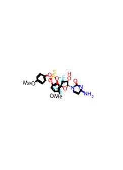 COc1ccc(OP(=S)(OC[C@@]2(C(F)F)O[C@@H](n3ccc(N)nc3=O)[C@@H](O)C2(F)F)Oc2ccc(OC)cc2)cc1